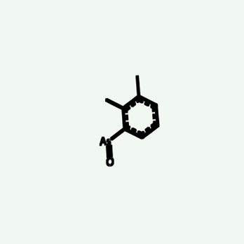 Cc1cccc([As]=O)c1C